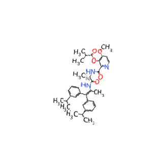 COc1ccnc(C(=O)N[C@@H](C)C(=O)NC(C)=C(c2cccc(C(C)C)c2)c2cccc(C(C)C)c2)c1OC(=O)C(C)C